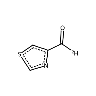 [2H]C(=O)c1cscn1